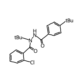 CC(C)(C)c1ccc(C(=O)NN(C(=O)c2ccccc2Cl)C(C)(C)C)cc1